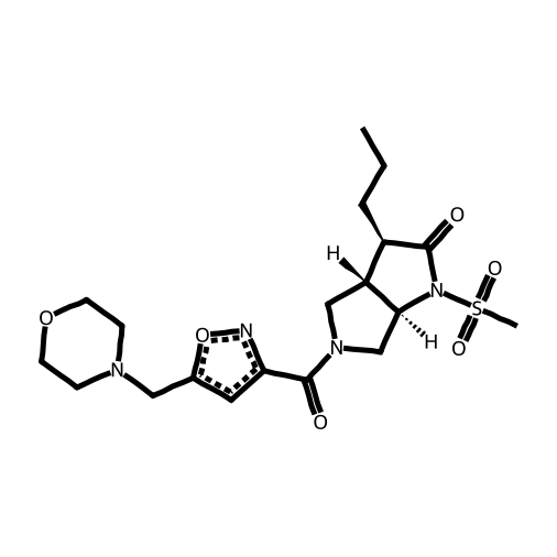 CCC[C@H]1C(=O)N(S(C)(=O)=O)[C@H]2CN(C(=O)c3cc(CN4CCOCC4)on3)C[C@H]12